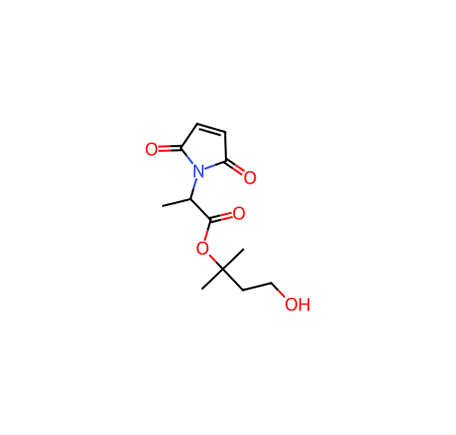 CC(C(=O)OC(C)(C)CCO)N1C(=O)C=CC1=O